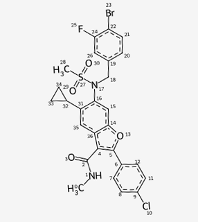 CNC(=O)c1c(-c2ccc(Cl)cc2)oc2cc(N(Cc3ccc(Br)c(F)c3)S(C)(=O)=O)c(C3CC3)cc12